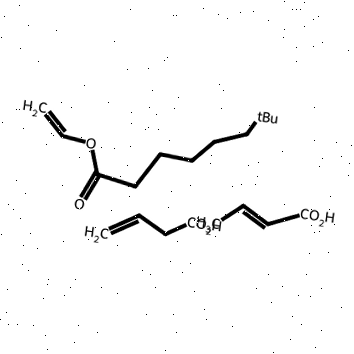 C=CCC(=O)O.C=COC(=O)CCCCCC(C)(C)C.CC=CC(=O)O